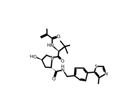 C=C(C)C(=O)N[C@H](C(=O)N1C[C@H](O)C[C@H]1C(=O)NCc1ccc(-c2scnc2C)cc1)C(C)(C)C